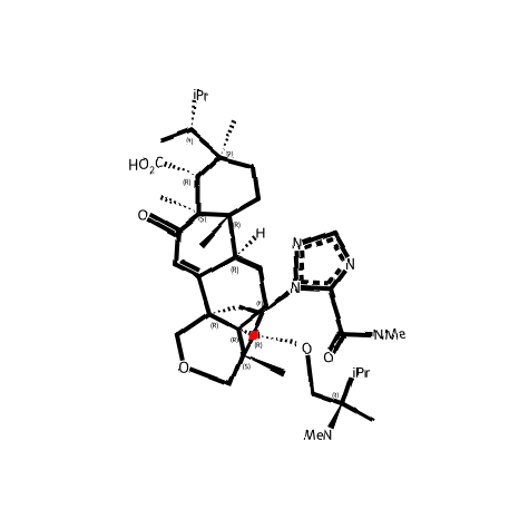 CNC(=O)c1ncnn1[C@@H]1C[C@@]23COC[C@](C)([C@@H]2CC[C@H]2C3=CC(=O)[C@@]3(C)[C@H](C(=O)O)[C@@](C)([C@H](C)C(C)C)CC[C@]23C)[C@H]1OC[C@](C)(NC)C(C)C